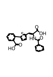 O=C(O)/C(=C/c1ccc(-c2ccccc2C(=O)O)s1)NC(=O)c1ccccc1